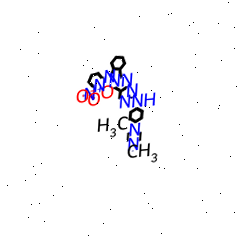 Cc1cc(Nc2ncc3c(=O)n4c(nc3n2)c2ccccc2n4-c2cccc([N+](=O)[O-])n2)ccc1N1CCN(C)CC1